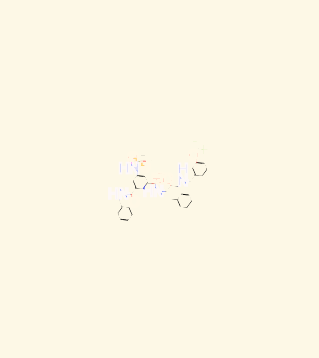 CCS(=O)(=O)Nc1cc(C(=O)N[C@@H](Cc2ccccc2)[C@H](O)CNCc2cccc(OC(F)F)c2)cc(C(=O)N[C@H](C)c2ccccc2)c1